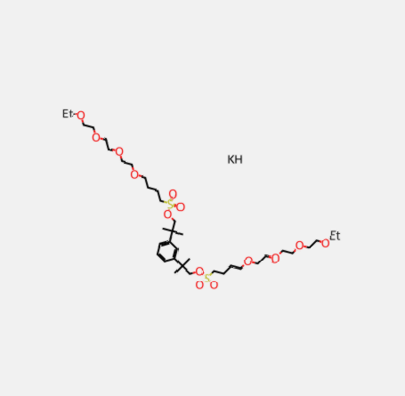 CCOCCOCCOCCOCCCCS(=O)(=O)OCC(C)(C)c1cccc(C(C)(C)COS(=O)(=O)CCCCOCCOCCOCCOCC)c1.[KH]